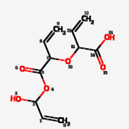 C=CC(O)OC(=O)C(C=C)OC(C=C)C(=O)O